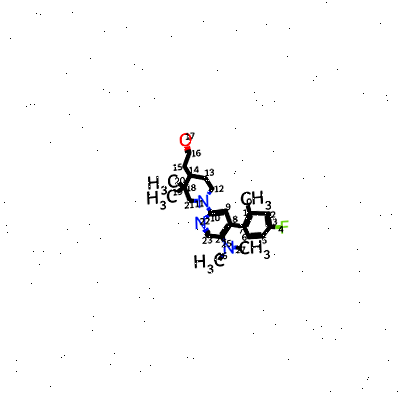 Cc1cc(F)ccc1-c1cc(N2CCC(CC=O)C(C)(C)C2)ncc1N(C)C